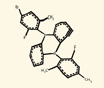 Cc1cc(C)c(B2c3c#cccc3B(c3c(C)cc(Br)cc3F)c3ccccc32)c(F)c1